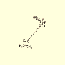 C=C(C)C(=O)OCCCCCCCCOC(=O)C(F)(F)SOOO